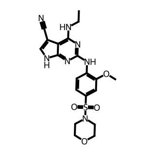 CCNc1nc(Nc2ccc(S(=O)(=O)N3CCOCC3)cc2OC)nc2[nH]cc(C#N)c12